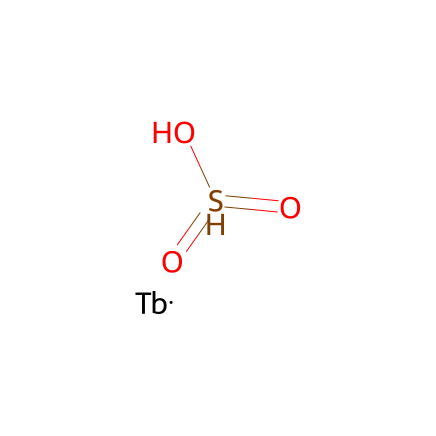 O=[SH](=O)O.[Tb]